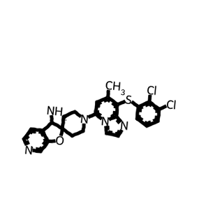 Cc1cc(N2CCC3(CC2)Oc2cnccc2C3N)n2ccnc2c1Sc1cccc(Cl)c1Cl